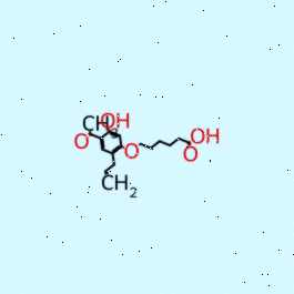 C=CCc1cc(C(C)=O)c(O)cc1OCCCCCC(=O)O